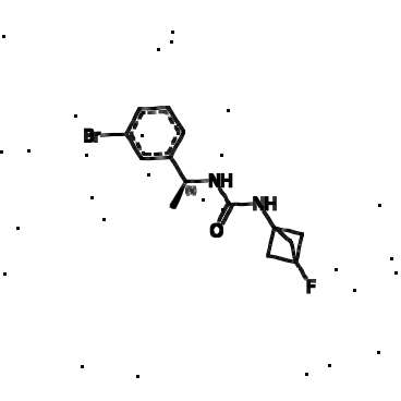 C[C@H](NC(=O)NC12CC(F)(C1)C2)c1cccc(Br)c1